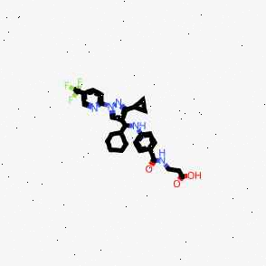 O=C(O)CCNC(=O)c1ccc(NC(c2cn(-c3ccc(C(F)(F)F)cn3)nc2C2CC2)C2CCCCC2)cc1